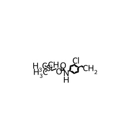 C=Cc1ccc(NC(=O)OCC[Si](C)(C)C)cc1Cl